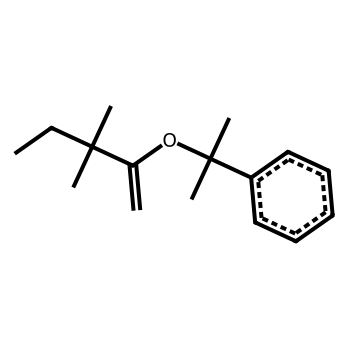 C=C(OC(C)(C)c1ccccc1)C(C)(C)CC